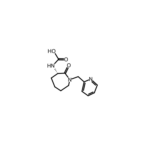 O=C(O)N[C@H]1CCCCN(Cc2ccccn2)C1=O